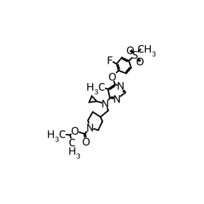 Cc1c(Oc2ccc(S(C)(=O)=O)cc2F)ncnc1N(CC1CCN(C(=O)OC(C)C)CC1)C1CC1